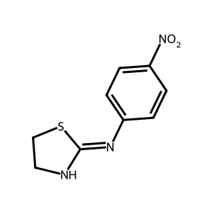 O=[N+]([O-])c1ccc(/N=C2/NCCS2)cc1